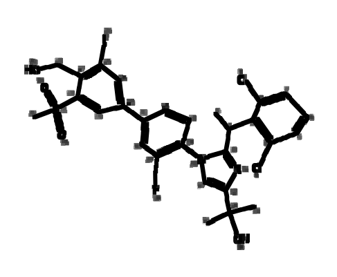 CC(c1c(Cl)cccc1Cl)c1nc(C(C)(C)O)cn1-c1ccc(-c2cc(F)c(CO)c(S(C)(=O)=O)c2)cc1F